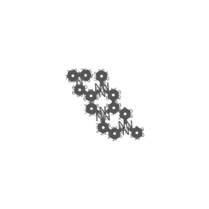 c1ccc(-c2nc(-c3ccccc3)nc(-c3cccc(-c4cccc(-c5nc(-c6ccccc6)nc(-c6cccc(-c7cccc(-c8nc(-c9ccccc9)nc(-c9cccc(-c%10cccc(-n%11c%12ccccc%12c%12ccccc%12%11)c%10)c9)n8)c7)c6)n5)c4)c3)n2)cc1